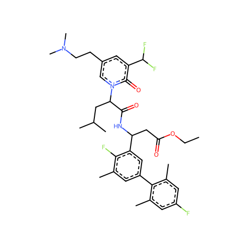 CCOC(=O)CC(NC(=O)C(CC(C)C)n1cc(CCN(C)C)cc(C(F)F)c1=O)c1cc(-c2c(C)cc(F)cc2C)cc(C)c1F